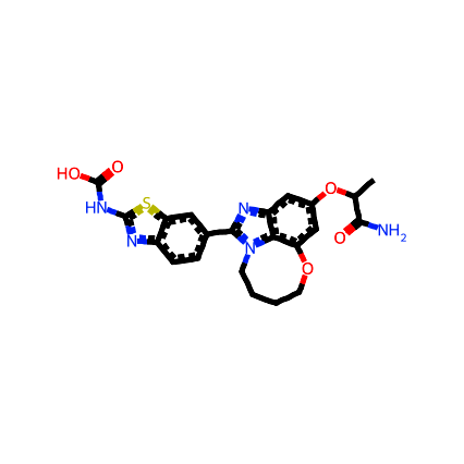 CC(Oc1cc2c3c(c1)nc(-c1ccc4nc(NC(=O)O)sc4c1)n3CCCCO2)C(N)=O